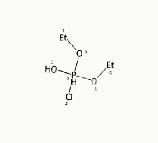 CCO[PH](O)(Cl)OCC